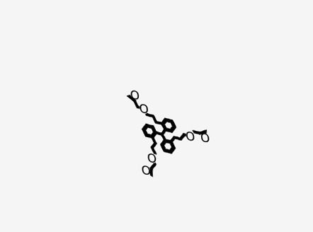 c1ccc(C(c2ccccc2CCCOCC2CO2)c2ccccc2CCCOCC2CO2)c(CCCOCC2CO2)c1